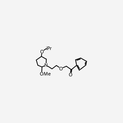 COC1CCC(OC(C)C)CN1CCOCC(=O)c1ccccc1